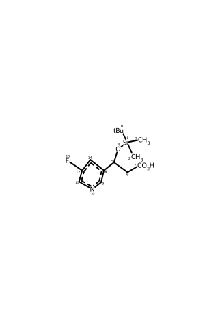 CC(C)(C)[Si](C)(C)OC(CC(=O)O)c1cncc(F)c1